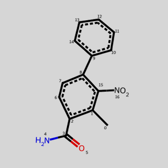 Cc1c(C(N)=O)ccc(-c2ccccc2)c1[N+](=O)[O-]